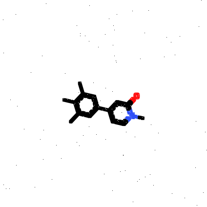 Cc1cc(-c2ccn(C)c(=O)c2)cc(C)c1C